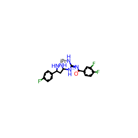 CC(C)N/C(=N/C(=O)c1ccc(F)c(F)c1)NC1CC(c2ccc(F)cc2)NN1